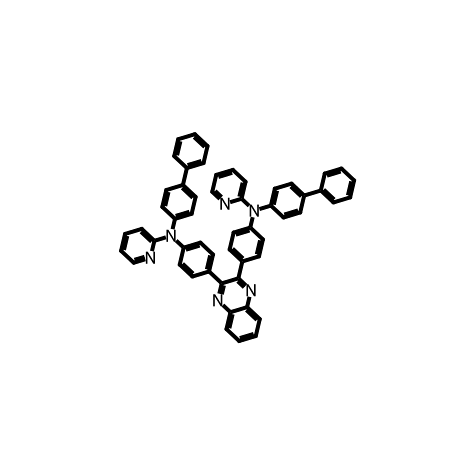 c1ccc(-c2ccc(N(c3ccc(-c4nc5ccccc5nc4-c4ccc(N(c5ccc(-c6ccccc6)cc5)c5ccccn5)cc4)cc3)c3ccccn3)cc2)cc1